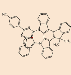 CC1(C)c2ccccc2-c2c1c1c3ccccc3n(-c3ccccc3)c1c1c2c2ccccc2n1-c1nc(-c2ccccc2)nc(-c2ccc(C#N)cc2)n1